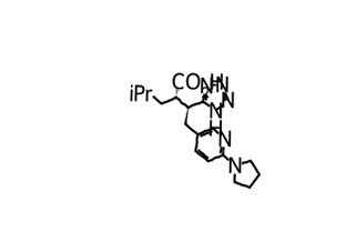 CC(C)C[C@H](C(=O)O)[C@H](Cc1ccc(N2CCCC2)nc1)c1nnn[nH]1